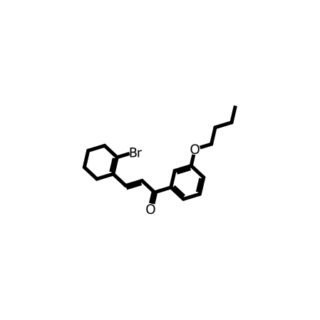 CCCCOc1cccc(C(=O)/C=C/C2=C(Br)CCCC2)c1